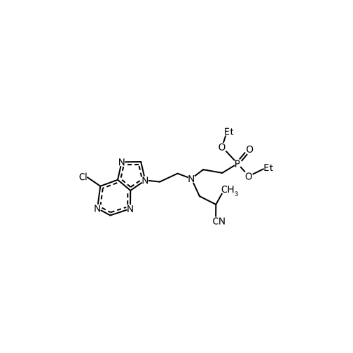 CCOP(=O)(CCN(CCn1cnc2c(Cl)ncnc21)CC(C)C#N)OCC